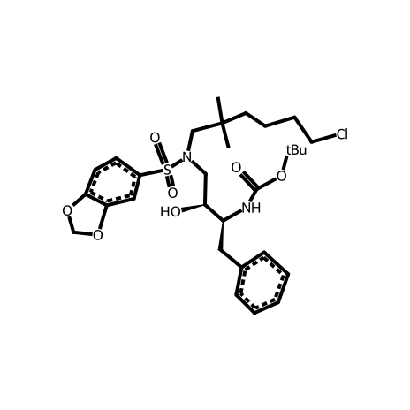 CC(C)(CCCCCl)CN(C[C@H](O)[C@H](Cc1ccccc1)NC(=O)OC(C)(C)C)S(=O)(=O)c1ccc2c(c1)OCO2